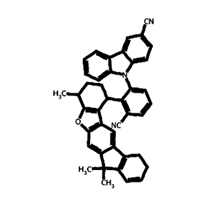 CC1CCC(c2c(C#N)cccc2-n2c3ccccc3c3cc(C#N)ccc32)c2c1oc1cc3c(cc21)C1=C(C=CCC1)C3(C)C